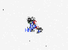 Cc1nc2c(N3C[C@H](C)NC[C@@H]3C)nc(OCC3CCCN3C)nc2c(=O)n1-c1cccc2cccc(Cl)c12